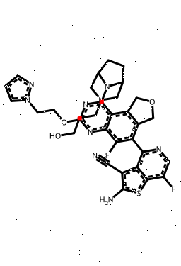 N#Cc1c(N)sc2c(F)cnc(-c3c4c(c5c(N6C7CCC6CN(CCCO)C7)nc(OCCn6cccn6)nc5c3F)COC4)c12